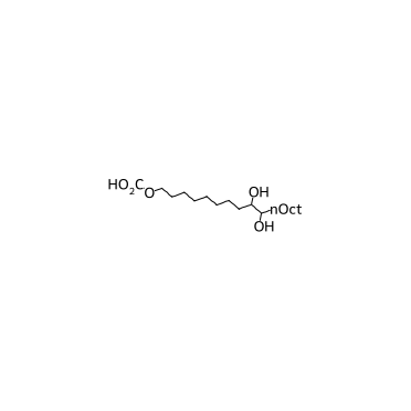 CCCCCCCCC(O)C(O)CCCCCCCCOC(=O)O